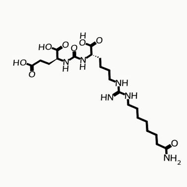 N=C(NCCCCCCCC(N)=O)NCCCC[C@H](NC(=O)N[C@@H](CCC(=O)O)C(=O)O)C(=O)O